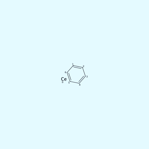 [Ce].[c]1ccccc1